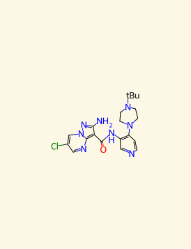 CC(C)(C)N1CCN(c2ccncc2NC(=O)c2c(N)nn3cc(Cl)cnc23)CC1